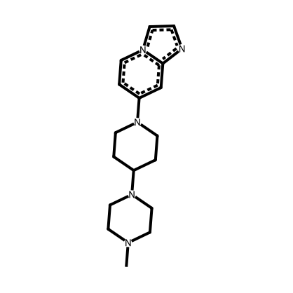 CN1CCN(C2CCN(c3ccn4ccnc4c3)CC2)CC1